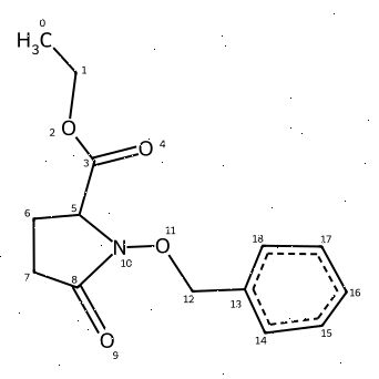 CCOC(=O)C1CCC(=O)N1OCc1ccccc1